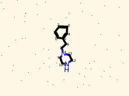 [c]1ccccc1CCN1CCNCC1